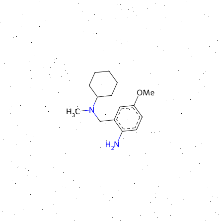 COc1ccc(N)c(CN(C)C2CCCCC2)c1